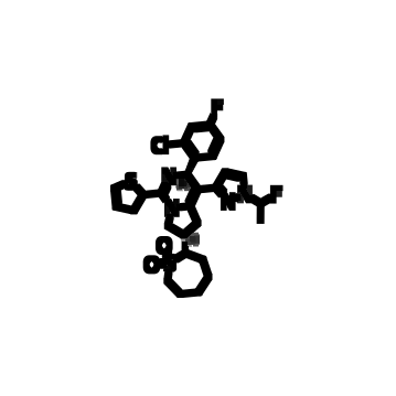 CC(F)n1ccc(C2=C3C[C@H](C4CCCCCS4(=O)=O)CN3C(C3CC=CS3)=N[C@H]2c2ccc(F)cc2Cl)n1